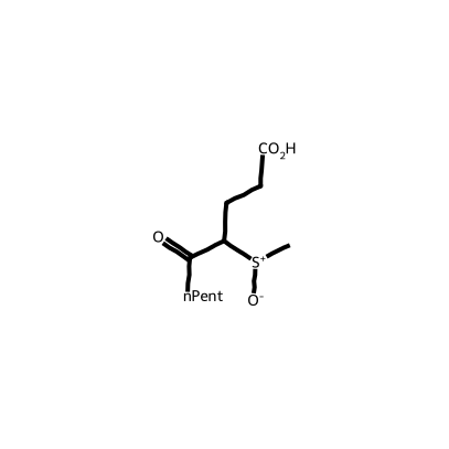 CCCCCC(=O)C(CCC(=O)O)[S+](C)[O-]